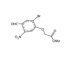 COC(=O)COc1cc([N+](=O)[O-])c(C=O)cc1Br